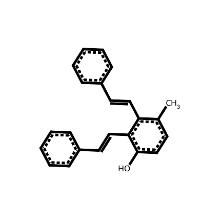 Cc1ccc(O)c(C=Cc2ccccc2)c1C=Cc1ccccc1